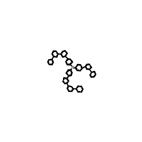 c1ccc(-c2cccc(-c3ccc(N(c4ccc(-c5cccc(-c6cccc(-c7ccccc7)c6)c5)cc4)c4ccc(-c5cccc(-c6cccc(-c7ccccc7)c6)c5)cc4)cc3)c2)cc1